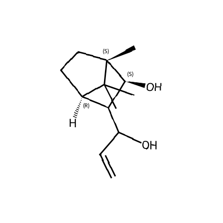 C=CC(O)C1[C@H]2CC[C@](C)([C@H]1O)C2(C)C